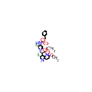 COC(=O)C(CN1CC[C@H](NC(=O)OCc2ccccc2)[C@H](F)C1)c1c(F)cnc2ccc(OC)nc12